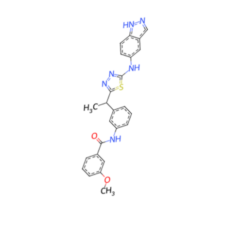 COc1cccc(C(=O)Nc2cccc(C(C)c3nnc(Nc4ccc5[nH]ncc5c4)s3)c2)c1